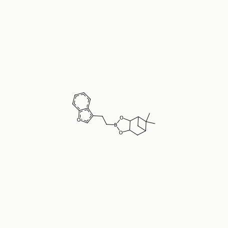 CC1(C)C2CC3OB(CCc4coc5ccccc45)OC3C1C2